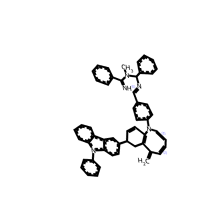 C=C1/C=C\C=C/N(c2ccc(/C=N/C(c3ccccc3)N(C)C(=N)c3ccccc3)cc2)C2=C1CC(c1ccc3c(c1)c1ccccc1n3-c1ccccc1)C=C2